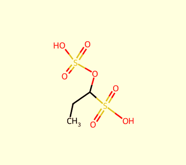 CCC(OS(=O)(=O)O)S(=O)(=O)O